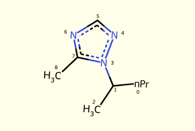 CCCC(C)n1ncnc1C